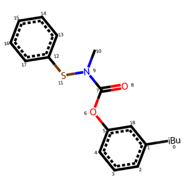 CCC(C)c1cccc(OC(=O)N(C)Sc2ccccc2)c1